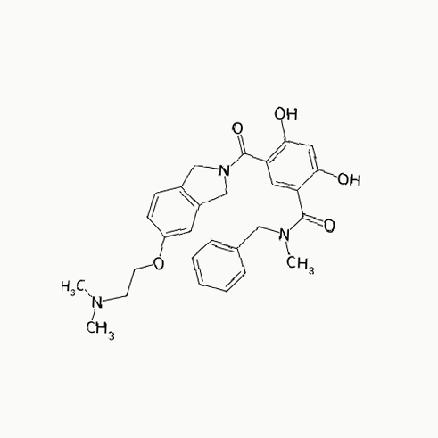 CN(C)CCOc1ccc2c(c1)CN(C(=O)c1cc(C(=O)N(C)Cc3ccccc3)c(O)cc1O)C2